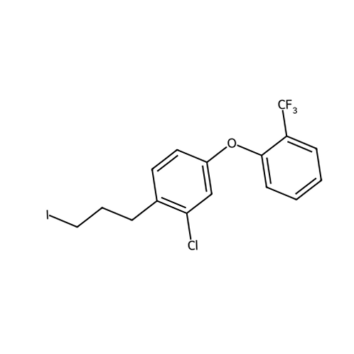 FC(F)(F)c1ccccc1Oc1ccc(CCCI)c(Cl)c1